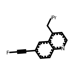 CC(C)Cc1ccnc2ccc(C#CF)cc12